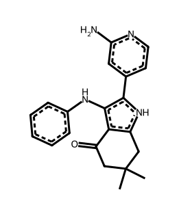 CC1(C)CC(=O)c2c([nH]c(-c3ccnc(N)c3)c2Nc2ccccc2)C1